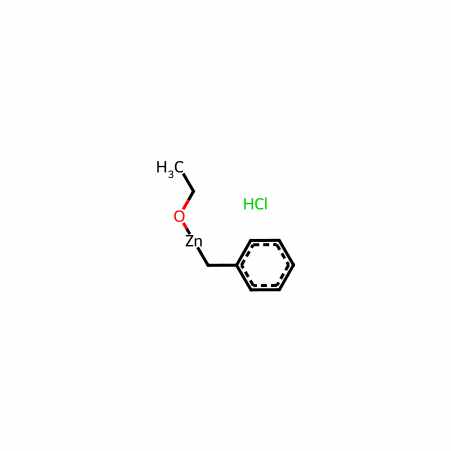 CC[O][Zn][CH2]c1ccccc1.Cl